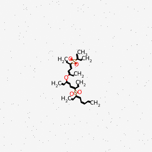 C=C/C=C\C=C(/C=C)S(=O)(=O)/C(C=C)=C/C=C(\C=C)O/C(C=C)=C/C=C(\C=C)S(=O)(=O)/C(C=C)=C/C